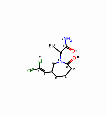 CCC(C(N)=O)N1CC(C=C(Cl)Cl)CCCC1=O